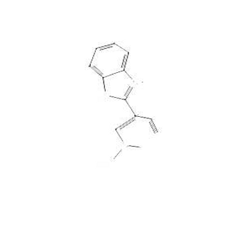 CN(C)/C=C(\C=O)c1nc2ccccc2s1